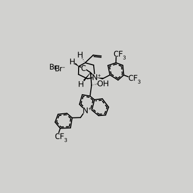 C=C[C@H]1C[N@+]2(Cc3cc(C(F)(F)F)cc(C(F)(F)F)c3)CC[C@H]1C[C@H]2[C@H](O)c1cc[n+](Cc2cccc(C(F)(F)F)c2)c2ccccc12.[Br-].[Br-]